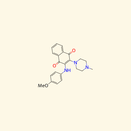 COc1ccc(NC2=C(N3CCN(C)CC3)C(=O)c3ccccc3C2=O)cc1